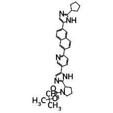 CC(C)(C)OC(=O)N1CCCC1c1ncc(-c2ccc(-c3ccc4cc(-c5cnc(C6CCCC6)[nH]5)ccc4c3)nc2)[nH]1